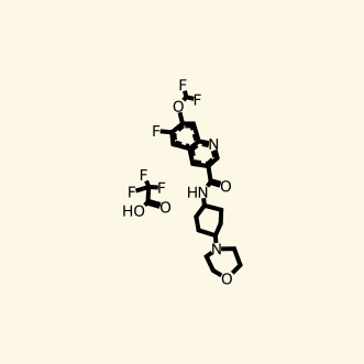 O=C(NC1CCC(N2CCOCC2)CC1)c1cnc2cc(OC(F)F)c(F)cc2c1.O=C(O)C(F)(F)F